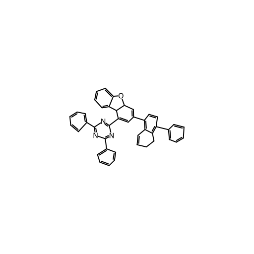 C1=Cc2c(C3=CC4Oc5ccccc5C4C(c4nc(-c5ccccc5)nc(-c5ccccc5)n4)=C3)ccc(-c3ccccc3)c2CC1